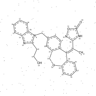 C/C(=C1/c2ccc(Cn3c(CCO)nc4ccccc43)cc2COc2ccccc21)c1noc(=O)[nH]1